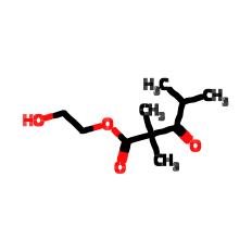 CC(C)C(=O)C(C)(C)C(=O)OCCO